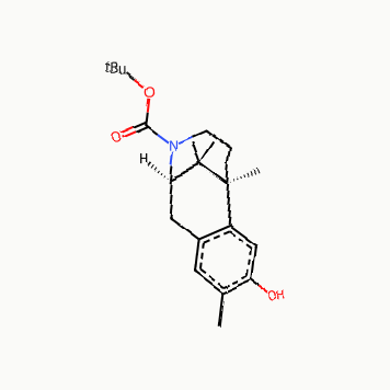 Cc1cc2c(cc1O)[C@]1(C)CCN(C(=O)OC(C)(C)C)[C@H](C2)C1(C)C